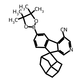 CC1(C)OB(c2ccc3c(c2)-c2c(C#N)cncc2C32C3CC4CC5CC2C45C3)OC1(C)C